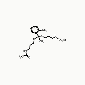 CCOC(=O)NCCCOC(C)(OCCCNC(=O)C(F)(F)F)c1ccccc1[N+](=O)[O-]